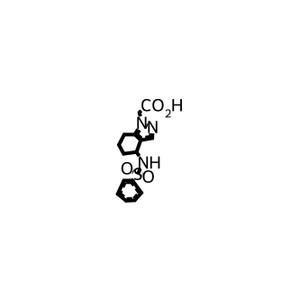 O=C(O)Cn1ncc2c1CCCC2NS(=O)(=O)c1ccccc1